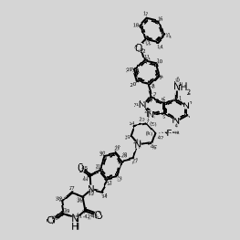 Nc1ncnc2c1c(-c1ccc(Oc3ccccc3)cc1)nn2[C@H]1CCN(Cc2ccc3c(c2)CN(C2CCC(=O)NC2=O)C3=O)C[C@H]1F